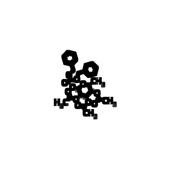 CC(=O)O[C@@H]1[C@H](OC(C)=O)[C@@H](OP(=O)(OCc2ccccc2)OCc2ccccc2)O[C@H](C)[C@H]1OC(C)=O